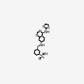 CS(=N)(=O)c1cccc(CNc2ccc3c(Nc4nccs4)ncnc3c2)c1